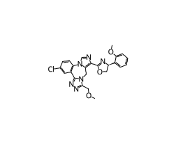 COCc1nnc2n1Cc1c(C3=N[C@@H](c4ccccc4OC)CO3)ncn1-c1ccc(Cl)cc1-2